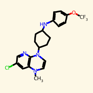 CN1C=CN(C2CCC(Nc3ccc(OC(F)(F)F)cc3)CC2)c2ncc(Cl)cc21